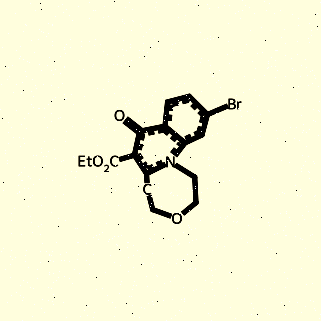 CCOC(=O)c1c2n(c3cc(Br)ccc3c1=O)CCOCC2